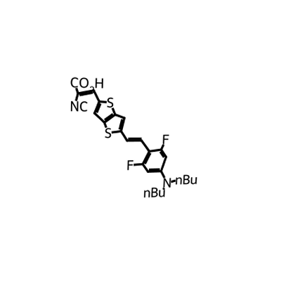 [C-]#[N+]/C(=C\c1cc2sc(/C=C/c3c(F)cc(N(CCCC)CCCC)cc3F)cc2s1)C(=O)O